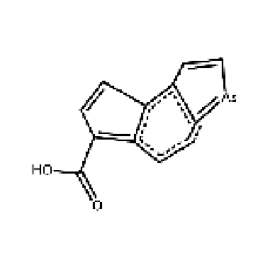 O=C(O)C1=c2ccc3c(c2C=C1)C=C[As]=3